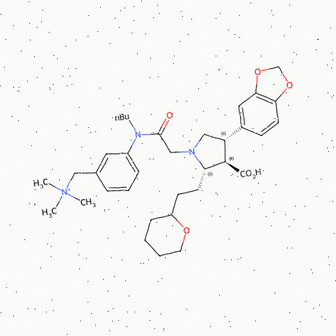 CCCCN(C(=O)CN1C[C@H](c2ccc3c(c2)OCO3)[C@@H](C(=O)O)[C@@H]1CCC1CCCCO1)c1cccc(C[N+](C)(C)C)c1